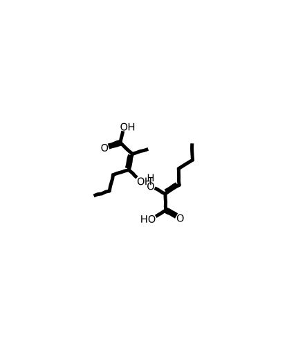 CCC/C(O)=C(/C)C(=O)O.CCC/C=C(\O)C(=O)O